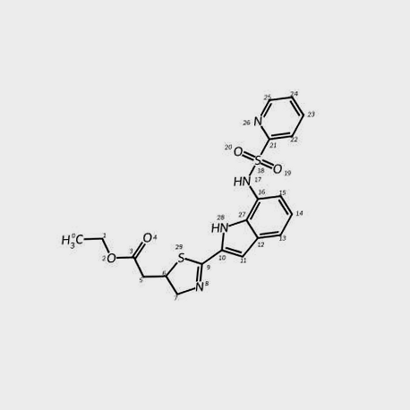 CCOC(=O)CC1CN=C(c2cc3cccc(NS(=O)(=O)c4ccccn4)c3[nH]2)S1